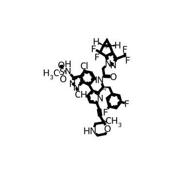 Cn1nc(NS(C)(=O)=O)c2c(Cl)ccc(-c3ccc(C#C[C@]4(C)CNCCO4)nc3[C@H](Cc3cc(F)cc(F)c3)NC(=O)Cn3nc(C(F)F)c4c3C(F)(F)[C@@H]3C[C@H]43)c21